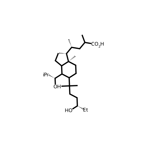 CC[C@H](O)CCC(C)(C)C1CC[C@@]2(C)C(CC[C@@H]2[C@H](C)CC(C)C(=O)O)C1[C@H](O)C(C)C